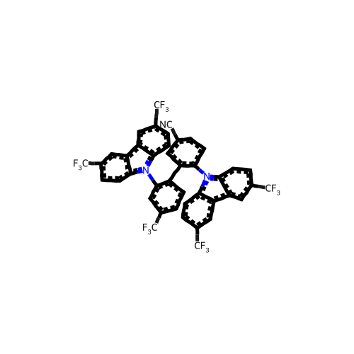 N#Cc1ccc(-n2c3ccc(C(F)(F)F)cc3c3cc(C(F)(F)F)ccc32)c(-c2ccc(C(F)(F)F)cc2-n2c3ccc(C(F)(F)F)cc3c3cc(C(F)(F)F)ccc32)c1